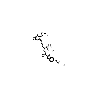 C=CCc1ccc2cc(C(=O)CC/C(=C/C=C/C=C(\CCl)C(=C)C=C)C(=C)C)sc2c1